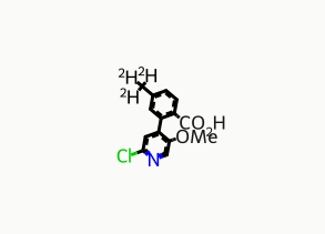 [2H]C([2H])([2H])c1ccc(C(=O)O)c(-c2cc(Cl)ncc2OC)c1